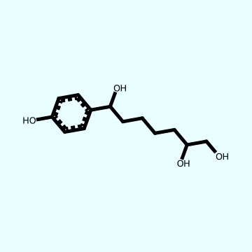 OCC(O)CCCCC(O)c1ccc(O)cc1